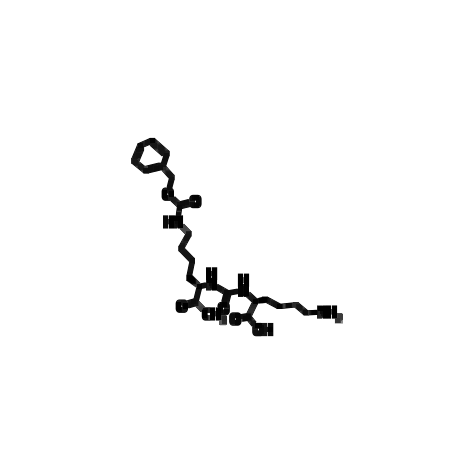 CC(=O)[C@@H](CCCCNC(=O)OCc1ccccc1)NC(=O)N[C@@H](CCCCN)C(=O)O